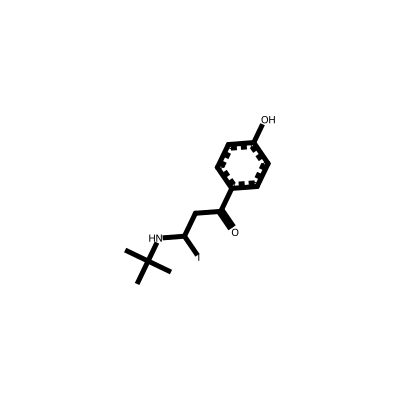 CC(C)(C)NC(I)CC(=O)c1ccc(O)cc1